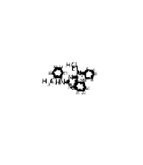 CCN(c1ccccc1)c1nc(Nc2ccccc2C)nc2ccccc12.Cl